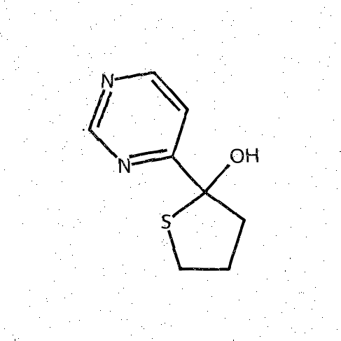 OC1(c2ccn[c]n2)CCCS1